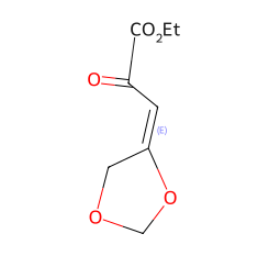 CCOC(=O)C(=O)/C=C1\COCO1